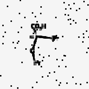 CC(C)O[C@H](C(=O)O)C(C)C